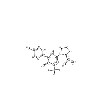 CC(C)(C)OC(=O)N(NC(=O)C1CCCN1C(=O)O)c1ccc(F)cc1